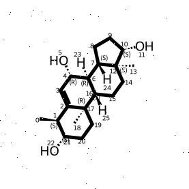 C[C@H]1C2=C[C@H](O)[C@H]3[C@@H]4CC[C@H](O)[C@@]4(C)CC[C@@H]3[C@@]2(C)CC[C@@H]1O